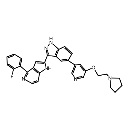 Fc1ccccc1-c1nccc2[nH]c(-c3n[nH]c4ccc(-c5cncc(OCCN6CCCC6)c5)cc34)cc12